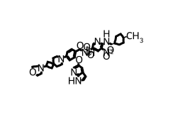 C[C@H]1CC[C@@H](CNc2ncc(S(=O)(=O)NC(=O)c3ccc(N4CCC5(CC4)CC(N4CCOCC4)C5)cc3Oc3cnc4[nH]ccc4c3)cc2[N+](=O)[O-])CC1